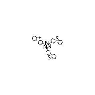 CC1(C)c2ccccc2-c2ccc(-c3nc(-c4ccc5sc6ccccc6c5c4)nc(-c4ccc5sc6ccccc6c5c4)n3)cc21